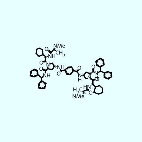 CN[C@@H](C)C(=O)N[C@H](C(=O)N1C[C@@H](NC(=O)c2ccc(C(=O)N[C@H]3C[C@@H](C(=O)NC(c4ccccc4)c4ccccc4)N(C(=O)[C@@H](NC(=O)[C@H](C)NC)C4CCCCC4)C3)cc2)CC1C(=O)NC(c1ccccc1)c1ccccc1)C1CCCCC1